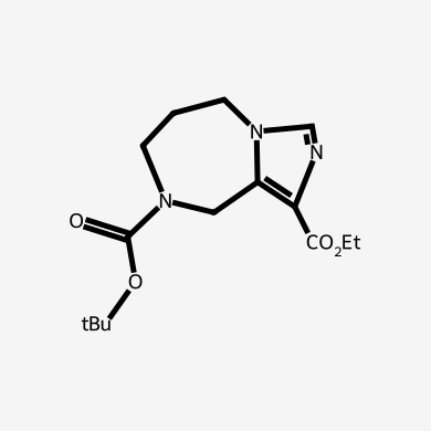 CCOC(=O)c1ncn2c1CN(C(=O)OC(C)(C)C)CCC2